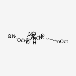 CCCCCCCCC=CCCCCCCCC(=O)N1CCC(NC(=O)C2(C)C3=c4ccccc4=NC3=CCN(C(=O)c3ccc(OCCCN4CCOCC4)cc3)C2C)CC1